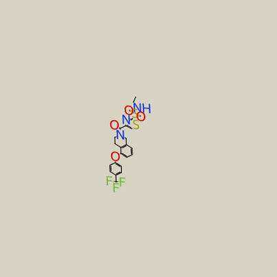 CCNS(=O)(=O)c1nc(C(=O)N2CCc3c(cccc3Oc3ccc(C(F)(F)F)cc3)C2)cs1